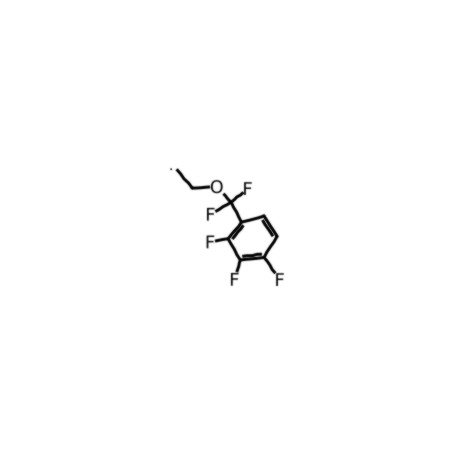 [CH2]COC(F)(F)c1ccc(F)c(F)c1F